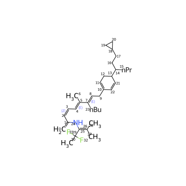 C=C(\C=C/C=C(C)/C(=C/CC1=CCC(C(CCC)CCC2CC2)C=C1)CCCC)NC(=C(C)C)C(C)(F)F